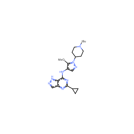 COc1c(Nc2nc(C3CC3)nc3cn[nH]c23)cnn1C1CCN(C(C)(C)C)CC1